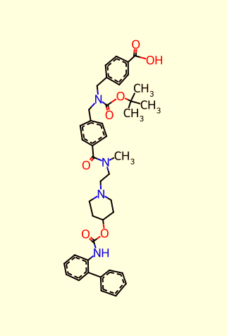 CN(CCN1CCC(OC(=O)Nc2ccccc2-c2ccccc2)CC1)C(=O)c1ccc(CN(Cc2ccc(C(=O)O)cc2)C(=O)OC(C)(C)C)cc1